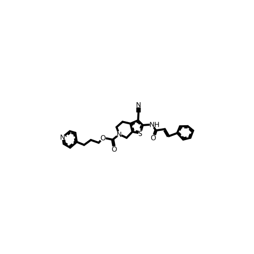 N#Cc1c(NC(=O)/C=C/c2ccccc2)sc2c1CCN(C(=O)OCCCc1ccncc1)C2